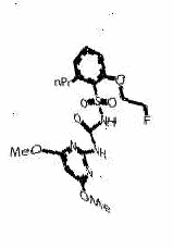 CCCc1cccc(OCCF)c1S(=O)(=O)NC(=O)Nc1nc(OC)cc(OC)n1